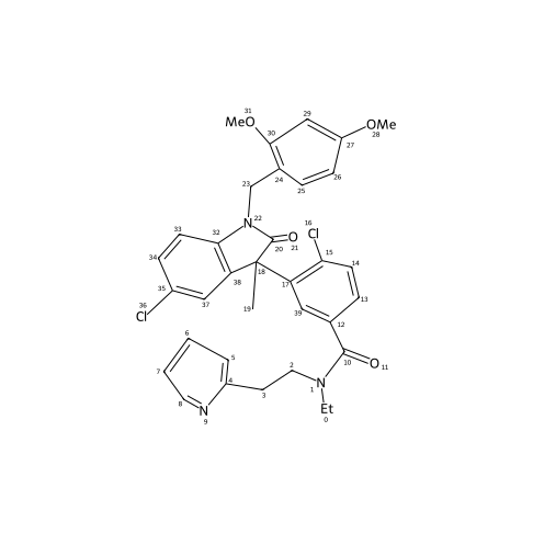 CCN(CCc1ccccn1)C(=O)c1ccc(Cl)c(C2(C)C(=O)N(Cc3ccc(OC)cc3OC)c3ccc(Cl)cc32)c1